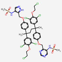 CC(CCC(C)(c1ccc(OCc2[nH]ncc2NS(C)(=O)=O)cc1)c1cc(Cl)c(OCCCl)c(Cl)c1)(c1ccc(OCc2ncncc2NS(C)(=O)=O)cc1)c1cc(Cl)c(OCCCl)c(Cl)c1